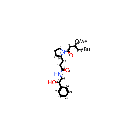 CCC(C)CC(CC(=O)N1CCCC1CCC(=O)NCC(O)c1ccccc1)OC